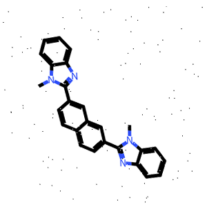 Cn1c(-c2ccc3ccc(-c4nc5ccccc5n4C)cc3c2)nc2ccccc21